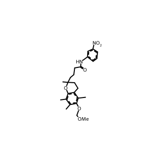 COCOc1c(C)c(C)c2c(c1C)CCC(C)(CCCC(=O)Nc1cccc([N+](=O)[O-])c1)O2